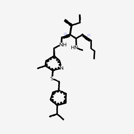 C=C(CC)/C(=C/NCc1cnc(SCc2ccc(C(C)C)cc2)c(C)c1)C(/C=C\CCC)NC